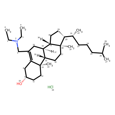 CCN(CC)CC1=C2C[C@@H](O)CC[C@]2(C)[C@H]2CC[C@]3(C)[C@@H]([C@H](C)CCCC(C)C)CC[C@H]3[C@@H]2C1.Cl